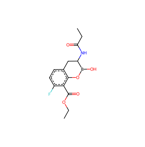 CCOC(=O)c1c(F)ccc2c1OB(O)C(NC(=O)CC)C2